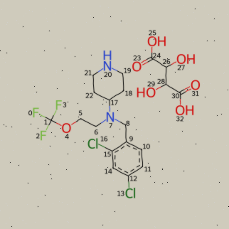 FC(F)(F)OCCN(Cc1ccc(Cl)cc1Cl)C1CCNCC1.O=C(O)C(O)C(O)C(=O)O